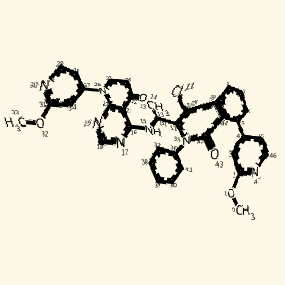 COc1cc(-c2cccc3c(Cl)c([C@H](C)Nc4ncnc5c4c(=O)ccn5-c4ccnc(OC)c4)n(-c4ccccc4)c(=O)c23)ccn1